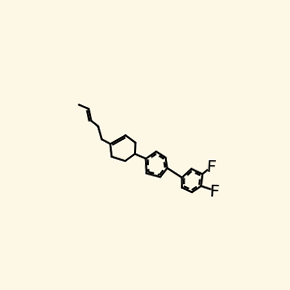 C/C=C/CCC1=CCC(c2ccc(-c3ccc(F)c(F)c3)cc2)CC1